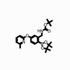 Cc1cccc(Oc2ccc(B3OC(C)(C)C(C)(C)O3)c(CNC(=O)OC(C)(C)C)c2)n1